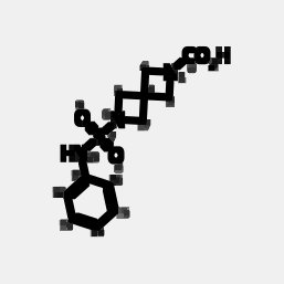 O=C(O)N1CC2(C1)CN(S(=O)(=O)Nc1ccccc1)C2